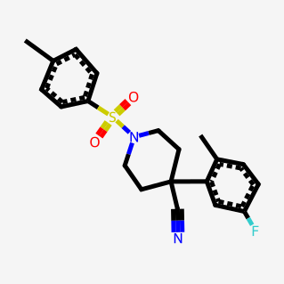 Cc1ccc(S(=O)(=O)N2CCC(C#N)(c3cc(F)ccc3C)CC2)cc1